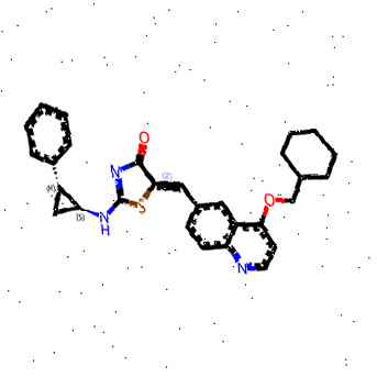 O=C1N=C(N[C@H]2C[C@@H]2c2ccccc2)S/C1=C\c1ccc2nccc(OCC3CCCCC3)c2c1